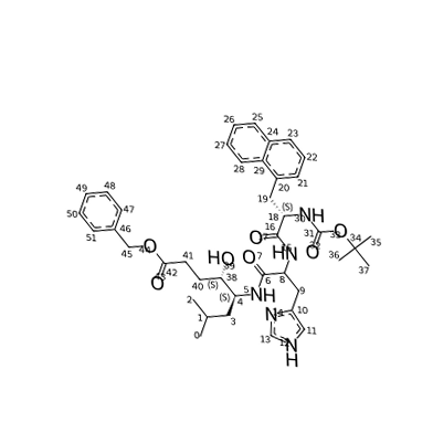 CC(C)C[C@H](NC(=O)C(Cc1c[nH]cn1)NC(=O)[C@H](Cc1cccc2ccccc12)NC(=O)OC(C)(C)C)[C@@H](O)CCC(=O)OCc1ccccc1